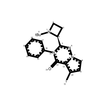 CC(C)(C)N1CC[C@H]1c1nn2ccc(I)c2c(=O)n1-c1ccccc1